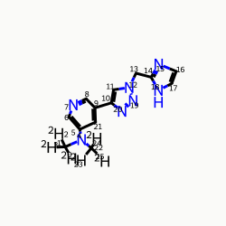 [2H]C([2H])([2H])N(c1cncc(-c2cn(Cc3ncc[nH]3)nn2)c1)C([2H])([2H])[2H]